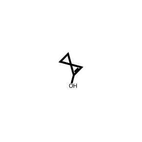 OC1=CC12CC2